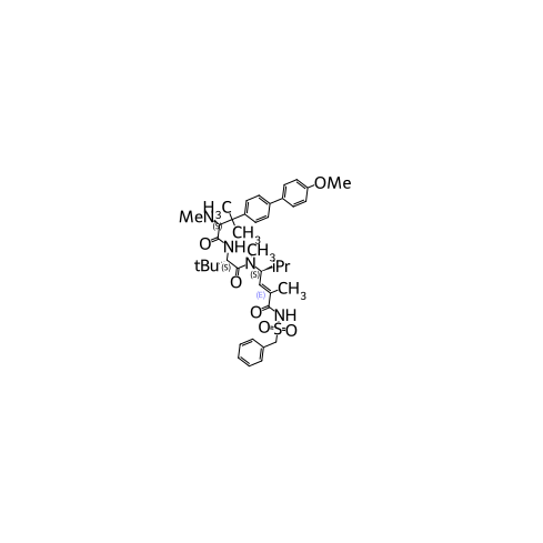 CN[C@H](C(=O)N[C@H](C(=O)N(C)[C@H](/C=C(\C)C(=O)NS(=O)(=O)Cc1ccccc1)C(C)C)C(C)(C)C)C(C)(C)c1ccc(-c2ccc(OC)cc2)cc1